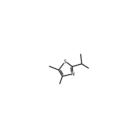 Cc1nc(C(C)C)sc1C